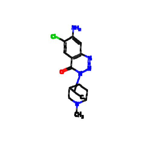 CN1CC2CCC1CC2n1nnc2cc(N)c(Cl)cc2c1=O